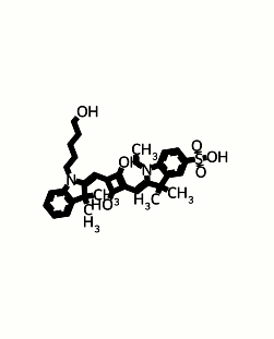 CCN1/C(=C\C2=C(O)C(/C=C3/N(CCCCCO)c4ccccc4C3(C)C)C2O)C(C)(C)c2cc(S(=O)(=O)O)ccc21